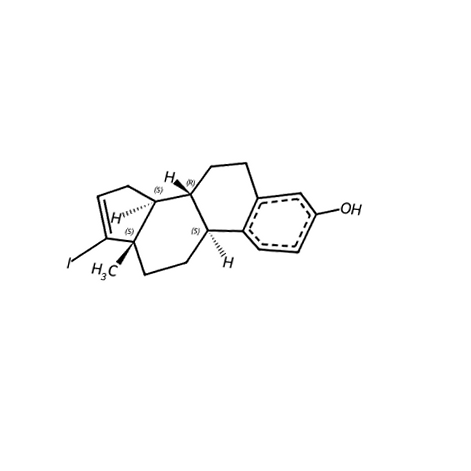 C[C@]12CC[C@@H]3c4ccc(O)cc4CC[C@H]3[C@@H]1CC=C2I